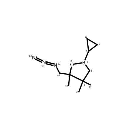 CC1(C)CB(C2CC2)OC1(C)CN=[N+]=[N-]